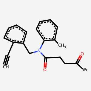 C#Cc1ccccc1CN(C(=O)CCC(=O)C(C)C)c1ccccc1C